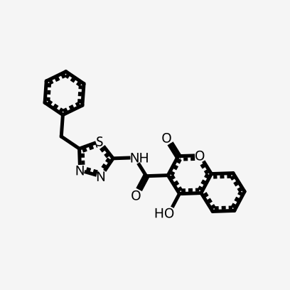 O=C(Nc1nnc(Cc2ccccc2)s1)c1c(O)c2ccccc2oc1=O